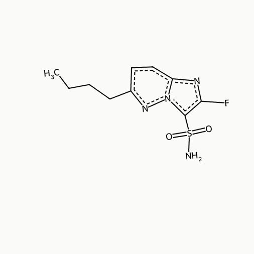 CCCCc1ccc2nc(F)c(S(N)(=O)=O)n2n1